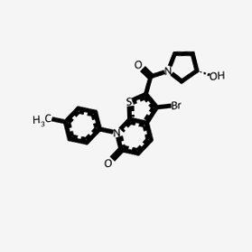 Cc1ccc(-n2c(=O)ccc3c(Br)c(C(=O)N4CC[C@H](O)C4)sc32)cc1